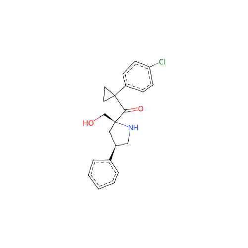 O=C(C1(c2ccc(Cl)cc2)CC1)[C@@]1(CO)C[C@H](c2ccccc2)CN1